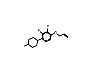 C=CCOc1ccc(C2CCC(C)CC2)c(F)c1F